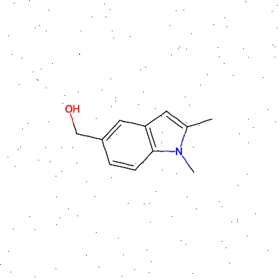 Cc1cc2cc(CO)ccc2n1C